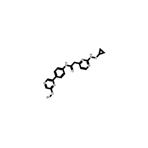 CC(C)Oc1cncc(-c2ccc(NC(=O)Cc3ccnc(NSC4CC4)n3)cc2)n1